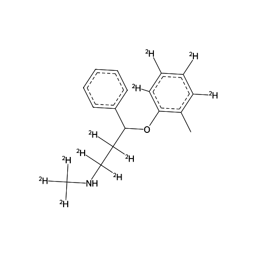 [2H]c1c([2H])c([2H])c(OC(c2ccccc2)C([2H])([2H])C([2H])([2H])NC([2H])([2H])[2H])c(C)c1[2H]